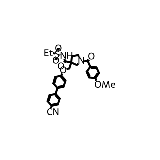 CCS(=O)(=O)NC(=O)C1(COc2ccc(-c3ccc(C#N)cc3)cc2)CCN(C(=O)c2ccc(OC)cc2)C1